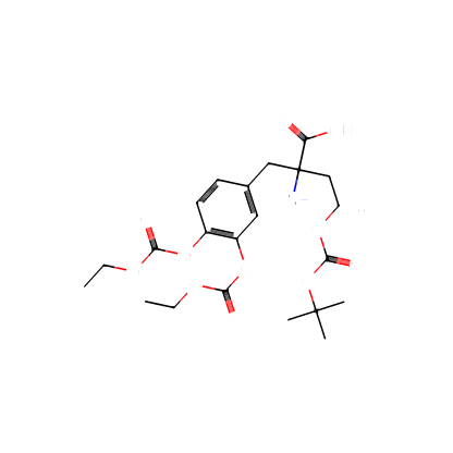 CCOC(=O)Oc1ccc(CC(N)(C[C@H](C)OC(=O)OC(C)(C)C)C(=O)O)cc1OC(=O)OCC